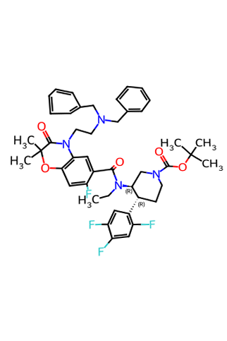 CCN(C(=O)c1cc2c(cc1F)OC(C)(C)C(=O)N2CCN(Cc1ccccc1)Cc1ccccc1)[C@H]1CN(C(=O)OC(C)(C)C)CC[C@@H]1c1cc(F)c(F)cc1F